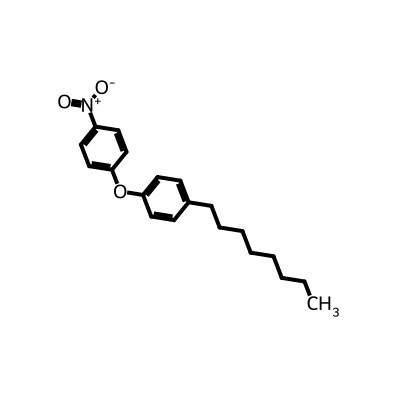 CCCCCCCCc1ccc(Oc2ccc([N+](=O)[O-])cc2)cc1